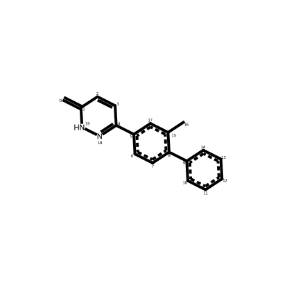 C=C1C=CC(c2ccc(-c3ccccc3)c(C)c2)=NN1